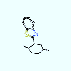 CC1CCC(C)C(c2nc3ccccc3s2)C1